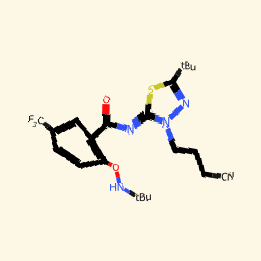 CC(C)(C)NOc1ccc(C(F)(F)F)cc1C(=O)/N=c1\sc(C(C)(C)C)nn1CCCC#N